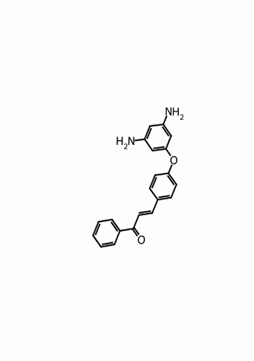 Nc1cc(N)cc(Oc2ccc(C=CC(=O)c3ccccc3)cc2)c1